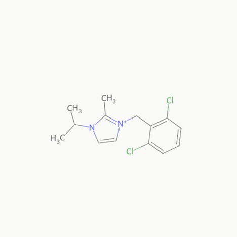 Cc1n(C(C)C)cc[n+]1Cc1c(Cl)cccc1Cl